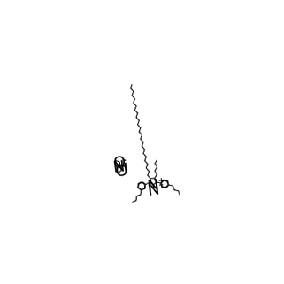 CCCCCCCCCCCCCCCCCCCCCCCCCCC1=C(c2cccc(CCCC)c2)[N+](=[N-])C(c2ccc(CCCC)cc2)=C1CCCCC.C[O][Ni][O]C